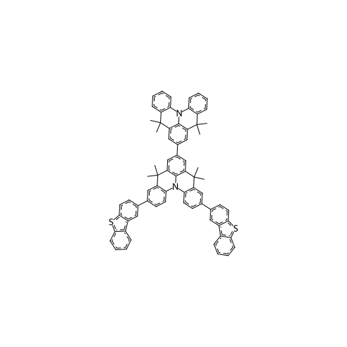 CC1(C)c2ccccc2N2c3ccccc3C(C)(C)c3cc(-c4cc5c6c(c4)C(C)(C)c4cc(-c7ccc8sc9ccccc9c8c7)ccc4N6c4ccc(-c6ccc7sc8ccccc8c7c6)cc4C5(C)C)cc1c32